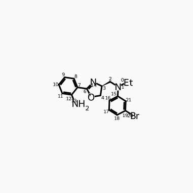 CCN(C[C@H]1COC(c2ccccc2N)=N1)c1cccc(Br)c1